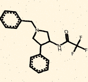 O=C(NC1CN(Cc2ccccc2)CC1c1ccccc1)C(F)(F)F